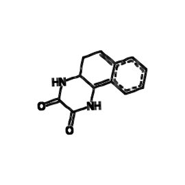 O=C1NC2=c3ccccc3=CCC2NC1=O